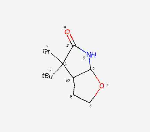 CC(C)C1(C(C)(C)C)C(=O)NC2OCCC21